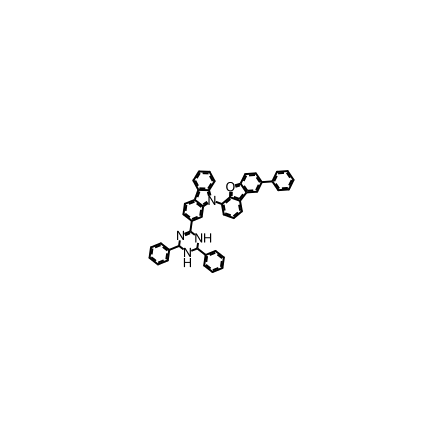 c1ccc(-c2ccc3oc4c(-n5c6ccccc6c6ccc(C7=NC(c8ccccc8)NC(c8ccccc8)N7)cc65)cccc4c3c2)cc1